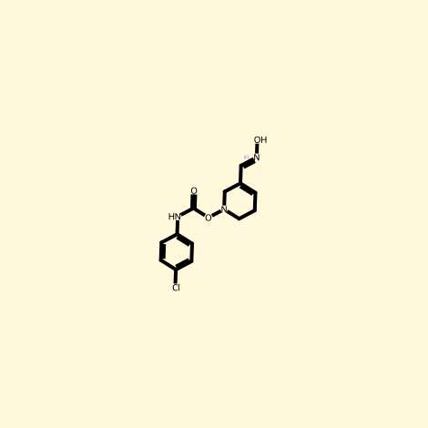 O=C(Nc1ccc(Cl)cc1)ON1CCC=C(/C=N/O)C1